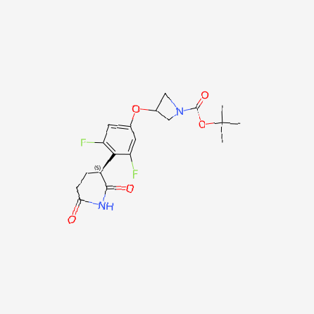 CC(C)(C)OC(=O)N1CC(Oc2cc(F)c([C@@H]3CCC(=O)NC3=O)c(F)c2)C1